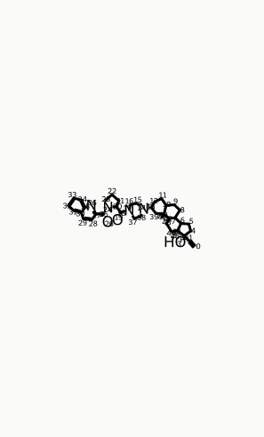 C#C[C@]1(O)CCC2C3CCC4CC[C@@H](N5CCN(C(=O)C6CCCN6C(=O)c6ccc7ccccc7n6)CC5)CC4(C)C3CC[C@@]21C